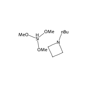 CCCCN1CCC1.CO[SiH](OC)OC